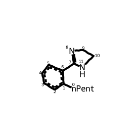 CCCCCc1ccccc1C1=NCCN1